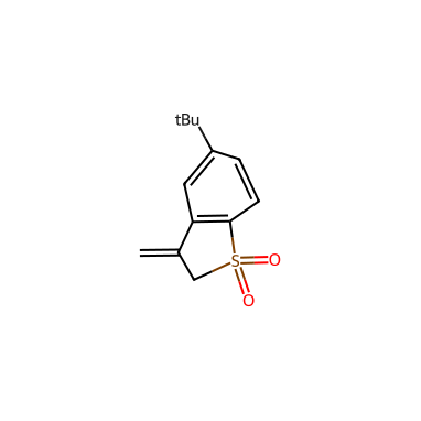 C=C1CS(=O)(=O)c2ccc(C(C)(C)C)cc21